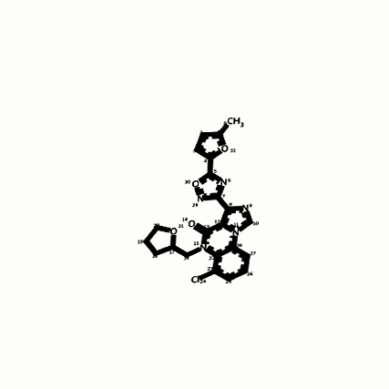 Cc1ccc(-c2nc(-c3ncn4c3c(=O)n(CC3CCCO3)c3c(Cl)cccc34)no2)o1